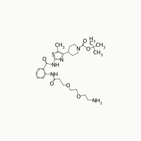 Cc1sc(NC(=O)c2ccccc2NC(=O)CCOCCOCCN)nc1C1CCN(C(=O)OC(C)(C)C)CC1